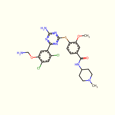 COc1cc(C(=O)NC2CCN(C)CC2)ccc1Sc1nc(N)nc(-c2cc(OCN)c(Cl)cc2Cl)n1